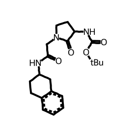 CC(C)(C)OC(=O)NC1CCN(CC(=O)NC2CCc3ccccc3C2)C1=O